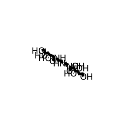 O=C(C[C@H](O)C[C@H](O)CO)NCCNCCNC(=O)[C@H](O)[C@@H](O)[C@H](O)CCO